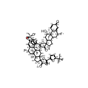 C[C@@H]1CC2C3C[C@H](F)C4=CC(=O)C=C[C@]4(C)[C@@]3(F)[C@@H](O)C[C@]2(C)[C@@]1(OC(=O)c1ccc(S(C)(=O)=O)s1)C(=O)O[C@H]1C[C@@]2(C)[C@@H](C[C@@H](C)[C@]2(OC(=O)c2ccc(C(F)(F)F)o2)C(=O)O)[C@@H]2C[C@H](F)C3=CC(=O)C=C[C@]3(C)[C@@]12F